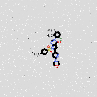 COc1ccc(Cl)c(-n2cnc3c(cc(-c4ccc(N5CCOCC5)nc4)n3S(=O)(=O)c3ccc(C)cc3)c2=O)c1C